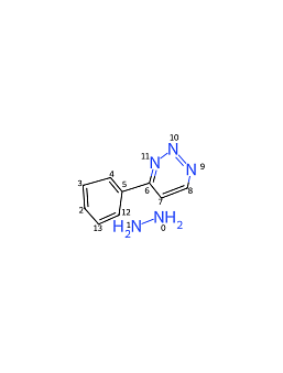 NN.c1ccc(-c2ccnnn2)cc1